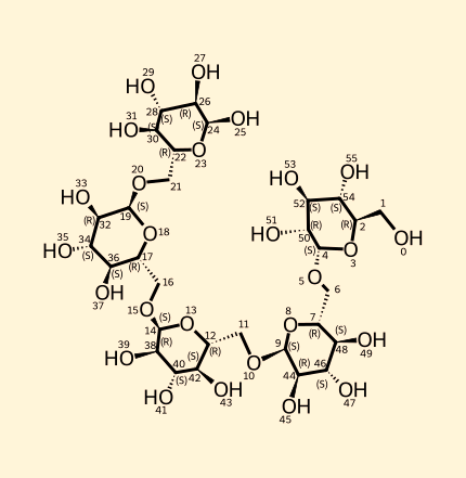 OC[C@H]1O[C@H](OC[C@H]2O[C@H](OC[C@H]3O[C@H](OC[C@H]4O[C@H](OC[C@H]5O[C@H](O)[C@H](O)[C@@H](O)[C@@H]5O)[C@H](O)[C@@H](O)[C@@H]4O)[C@H](O)[C@@H](O)[C@@H]3O)[C@H](O)[C@@H](O)[C@@H]2O)[C@H](O)[C@@H](O)[C@@H]1O